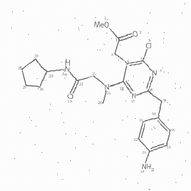 COC(=O)Cc1c(Cl)nc(Cc2ccc(N)cc2)nc1N(C)CC(=O)NC1CCCC1